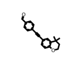 CC1(C)CCOc2ccc(C#Cc3ccc(C=O)cc3)cc21